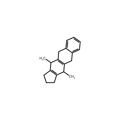 CC1C2=C(CCC2)C(C)C2=C1Cc1ccccc1C2